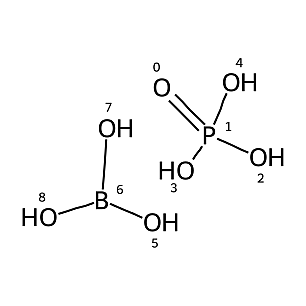 O=P(O)(O)O.OB(O)O